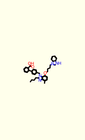 CCCCc1nc2c(C)ccc(OCCCCN3CNC4C=CC=CC43)c2n1Cc1ccc(-c2ccccc2C(=O)O)cc1